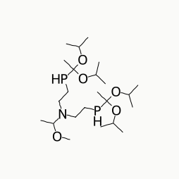 COC(C)N(CCPC(C)(OC(C)C)OC(C)C)CCPC(C)(OC(C)C)OC(C)C